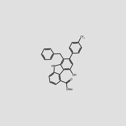 COC(=O)c1cccc2[nH]c3c(Cc4ccccc4)c(-c4ccc(C(F)(F)F)cc4)cc(O)c3c12